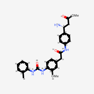 COC(=O)C[C@@H](N)c1ccc(NC(=O)Cc2ccc(NC(=O)Nc3ccccc3C)c(OC)c2)cc1